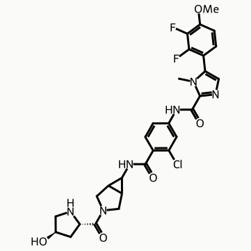 COc1ccc(-c2cnc(C(=O)Nc3ccc(C(=O)NC4C5CN(C(=O)[C@@H]6C[C@@H](O)CN6)CC54)c(Cl)c3)n2C)c(F)c1F